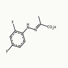 CC(=NNc1ccc(F)cc1F)C(=O)O